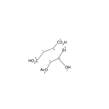 CCC(O)COC(C)=O.O=C(O)CCC(=O)O